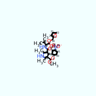 COC(=O)C1=C(C)NC(C)=C(C(=O)N[C@H](C(=O)OCc2ccco2)C(C)C)[C@H]1c1cccc([N+](=O)[O-])c1